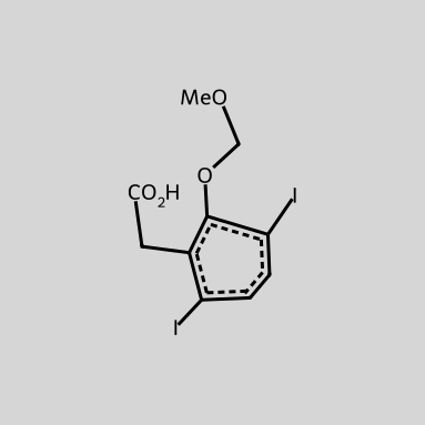 COCOc1c(I)ccc(I)c1CC(=O)O